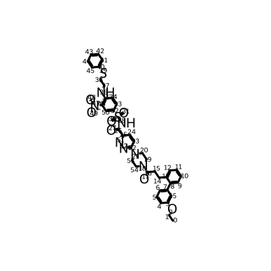 CCOc1cccc(-c2ccccc2CCC(=O)N2CCN(c3ccc(C(=O)NS(=O)(=O)c4ccc(NCCSc5ccccc5)c([N+](=O)[O-])c4)nn3)CC2)c1